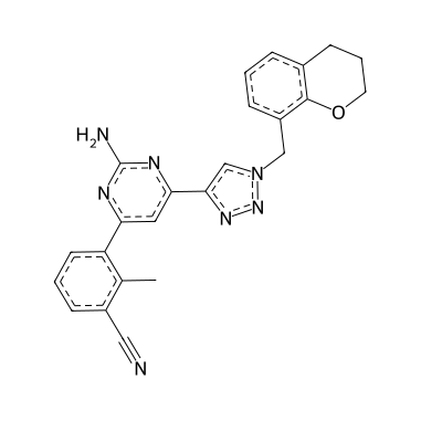 Cc1c(C#N)cccc1-c1cc(-c2cn(Cc3cccc4c3OCCC4)nn2)nc(N)n1